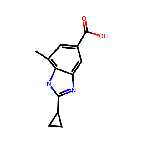 Cc1cc(C(=O)O)cc2nc(C3CC3)[nH]c12